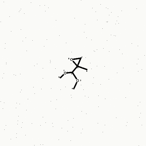 COC(OC)C1(C)CO1